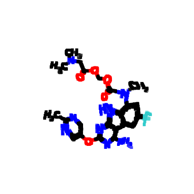 Cc1ncc(Oc2nc(N)c3c(n2)[nH]c2c(N(C)C(=O)OCOC(=O)CN(C)C)cc(F)cc23)cn1